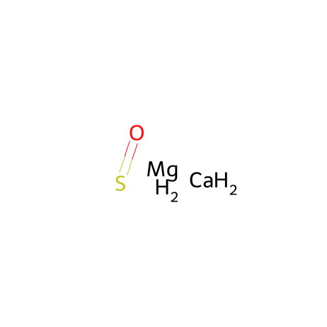 O=S.[CaH2].[MgH2]